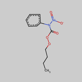 CCCCOOC(=O)N(c1ccccc1)[N+](=O)[O-]